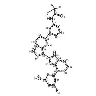 CC(C)(C)C(=O)Nc1cncc(-c2ccc3[nH]nc(-c4nc5c(-c6cc(O)cc(F)c6)ccnc5[nH]4)c3n2)c1